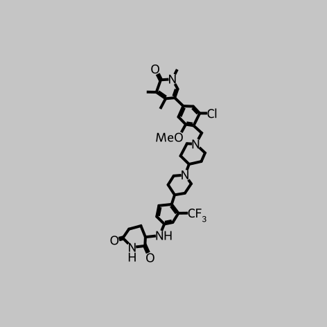 COc1cc(-c2cn(C)c(=O)c(C)c2C)cc(Cl)c1CN1CCC(N2CCC(c3ccc(NC4CCC(=O)NC4=O)cc3C(F)(F)F)CC2)CC1